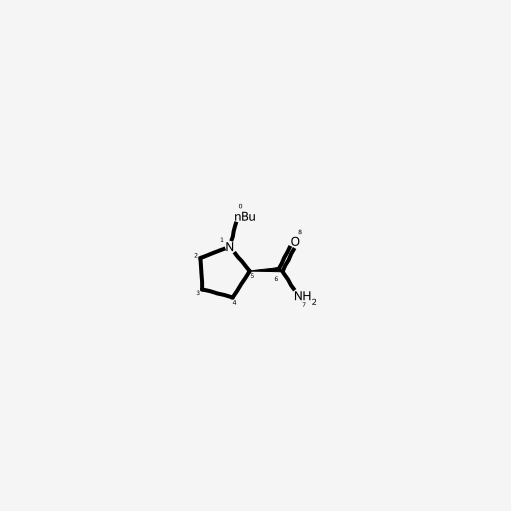 CCCCN1CCC[C@@H]1C(N)=O